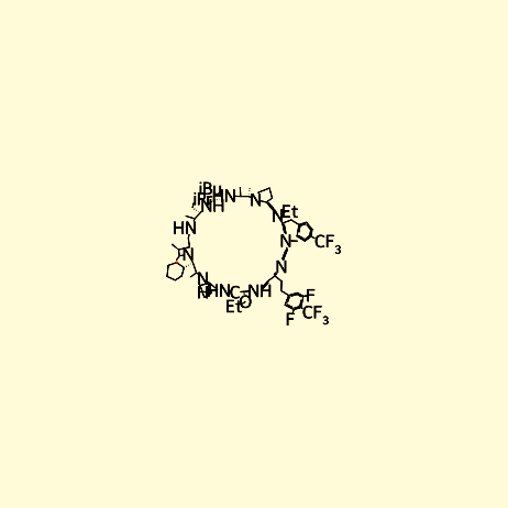 CCO[C@@H]1CNCC2(CCC2)NC(C)[C@H](C2CCCCC2)N2C(C)[C@@H](C)C2CNC(C)[C@H](CC(C)C)NC[C@H]([C@@H](C)CC)NC(C)[C@H](C)N2CCCC2=CN(CC)C(Cc2ccc(C(F)(F)F)cc2)=CN(C)C=CN=C(CCc2cc(F)c(C(F)(F)F)c(F)c2)C=CN1